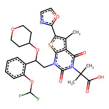 Cc1c(-c2ncco2)sc2c1c(=O)n(C(C)(C)C(=O)O)c(=O)n2CC(OC1CCOCC1)c1ccccc1OC(F)F